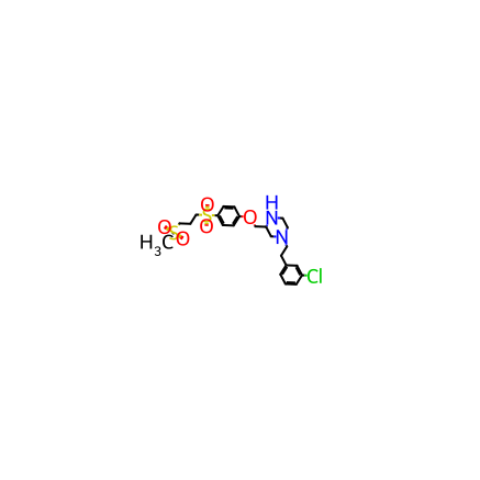 CS(=O)(=O)CCCS(=O)(=O)c1ccc(OCC2CN(CCc3cccc(Cl)c3)CCN2)cc1